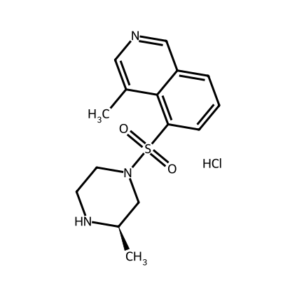 Cc1cncc2cccc(S(=O)(=O)N3CCN[C@H](C)C3)c12.Cl